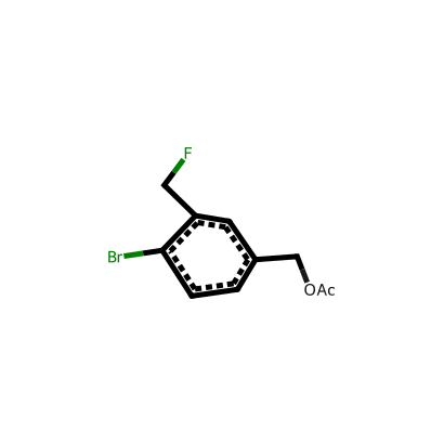 CC(=O)OCc1ccc(Br)c(CF)c1